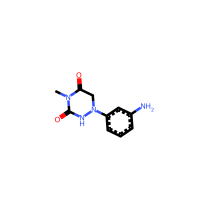 CN1C(=O)CN(c2cccc(N)c2)NC1=O